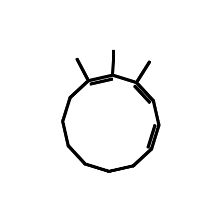 CC1=CC=CCCCCCCC(C)=C1C